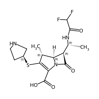 C[C@@H](NC(=O)C(F)F)[C@H]1C(=O)N2C(C(=O)O)=C(S[C@H]3CCNC3)[C@H](C)[C@@H]12